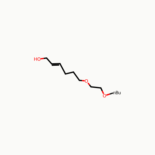 CCCCOCCOCCCC=CCO